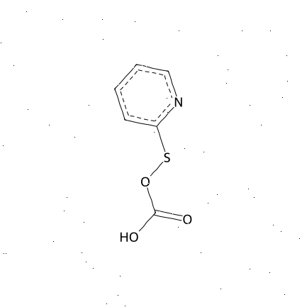 O=C(O)OSc1ccccn1